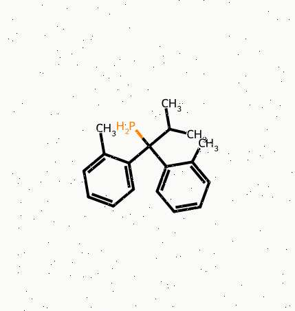 Cc1ccccc1C(P)(c1ccccc1C)C(C)C